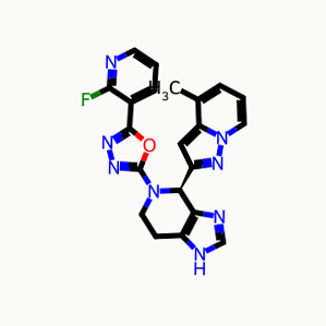 Cc1cccn2nc([C@H]3c4nc[nH]c4CCN3c3nnc(-c4cccnc4F)o3)cc12